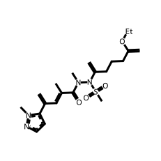 C=C(CCCC(=C)N(N(C)C(=O)/C(C)=C/C(=C)c1ccnn1C)S(C)(=O)=O)OCC